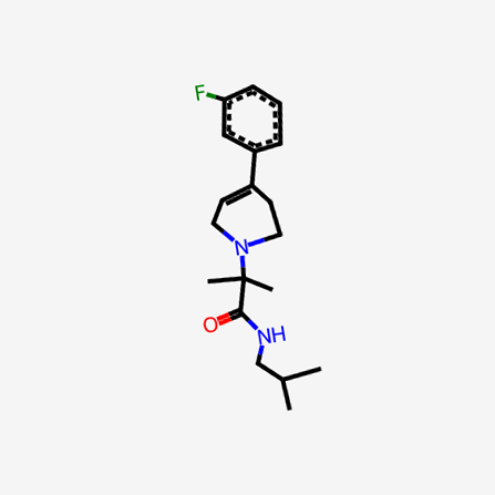 CC(C)CNC(=O)C(C)(C)N1CC=C(c2cccc(F)c2)CC1